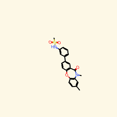 Cc1ccc2c(c1)N(C)C(=O)c1cc(-c3cccc(NS(C)(=O)=O)c3)ccc1O2